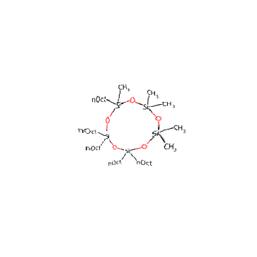 CCCCCCCC[Si]1(C)O[Si](C)(C)O[Si](C)(C)O[Si](CCCCCCCC)(CCCCCCCC)O[Si](CCCCCCCC)(CCCCCCCC)O1